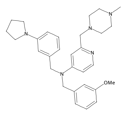 COc1cccc(CN(Cc2cccc(N3CCCC3)c2)c2ccnc(CN3CCN(C)CC3)c2)c1